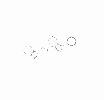 O=C(Cn1nc(C(F)(F)F)c2c1CCCC2)N1CCCc2c1cnn2-c1ccc(F)cc1